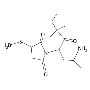 BSC1CC(=O)N(C(CC(C)N)C(=O)C(C)(C)CC)C1=O